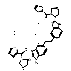 O=C(c1cccs1)N1CCC[C@H]1c1nc2cc(CCc3ccc4[nH]c([C@@H]5CCCN5C(=O)c5cccs5)nc4c3)ccc2[nH]1